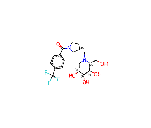 O=C(c1ccc(C(F)(F)F)cc1)N1CC[C@H](CN2C[C@H](O)[C@@H](O)[C@H](O)[C@@H]2CO)C1